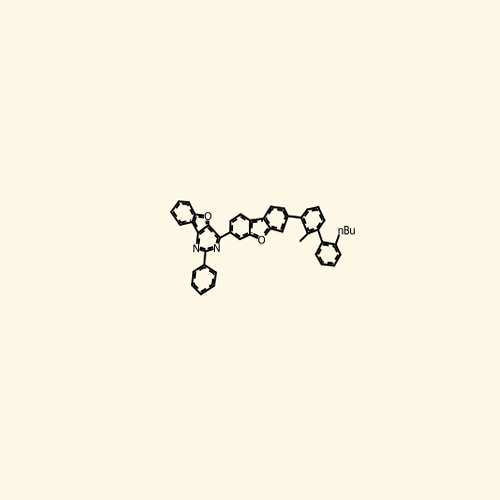 CCCCc1ccccc1-c1cccc(-c2ccc3c(c2)oc2cc(-c4nc(-c5ccccc5)nc5c4oc4ccccc45)ccc23)c1C